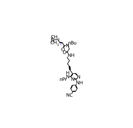 CCCCN(CC(=O)NCCCC#Cc1cnc(Nc2ccc(C#N)cc2)nc1NCCC)C(=O)/C=C/CN(C)C